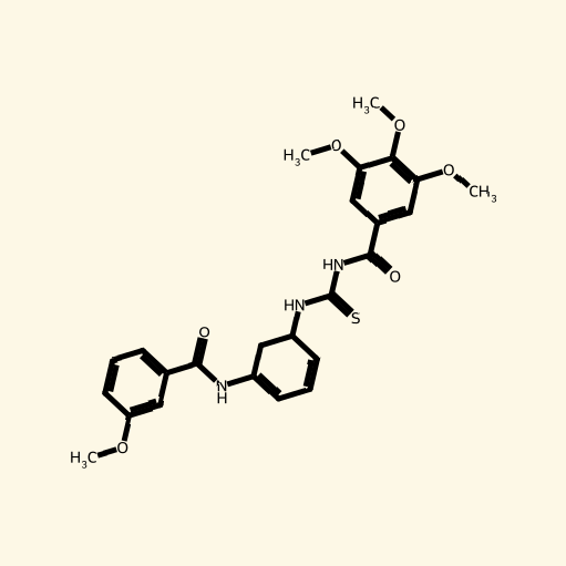 COc1cccc(C(=O)NC2=CC=CC(NC(=S)NC(=O)c3cc(OC)c(OC)c(OC)c3)C2)c1